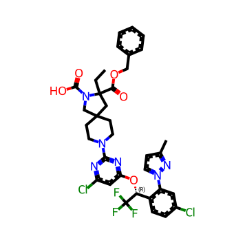 CCC1(C(=O)OCc2ccccc2)CC2(CCN(c3nc(Cl)cc(O[C@H](c4ccc(Cl)cc4-n4ccc(C)n4)C(F)(F)F)n3)CC2)CN1C(=O)O